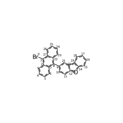 Brc1c2ccccc2c(-c2ccc3oc4ccccc4c3c2)c2ccccc12